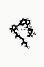 C=C[C@H]1C[N@]2CC[C@H]1C[C@@H]2[C@@H](O)c1ccnc2ccc(OC)cc12.CC1=C(/C=C/C(C)=C/C=C/C(C)=C/CO)C(C)(C)CCC1